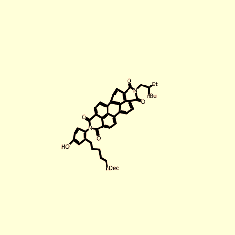 CCCCCCCCCCCCCCCc1cc(O)ccc1N1C(=O)c2ccc3c4ccc5c6c(ccc(c7ccc(c2c37)C1=O)c64)C(=O)N(CC(CC)CCCC)C5=O